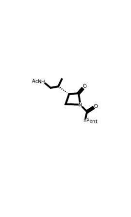 CCCCCC(=O)N1C[C@H](C(C)CNC(C)=O)C1=O